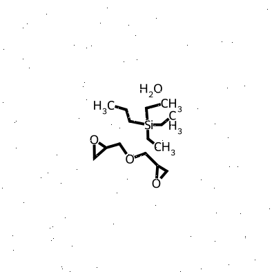 C(OCC1CO1)C1CO1.CCC[Si](CC)(CC)CC.O